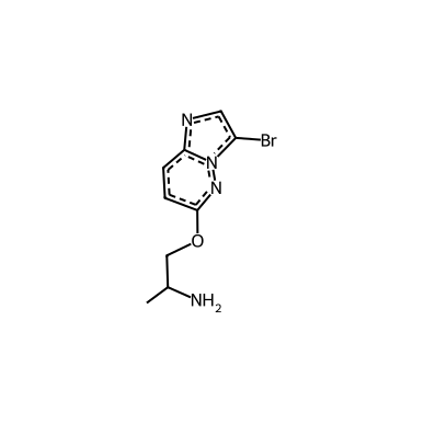 CC(N)COc1ccc2ncc(Br)n2n1